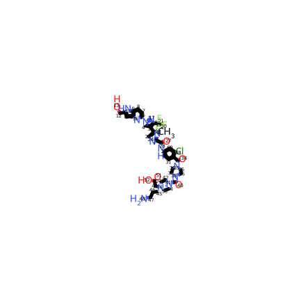 Cn1c(-c2cn(-c3ccc4[nH]c(CO)cc4n3)nc2C(F)(F)F)cnc1C(=O)Nc1ccc(C(=O)N2CCN(C(=O)N3CC[N+](CCCN)(CC(=O)O)CC3)CC2)c(Cl)c1